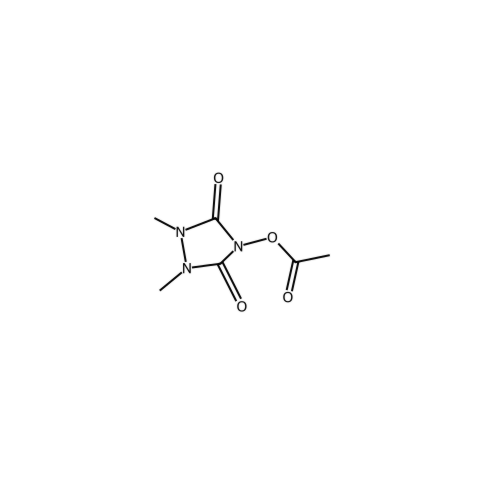 CC(=O)On1c(=O)n(C)n(C)c1=O